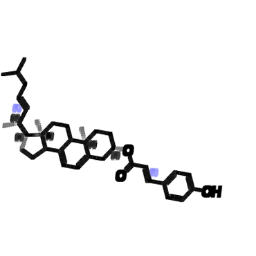 CC(C)C/C=C/[C@@H](C)[C@H]1CCC2C3=CC=C4C[C@@H](OC(=O)/C=C/c5ccc(O)cc5)CC[C@]4(C)C3CC[C@@]21C